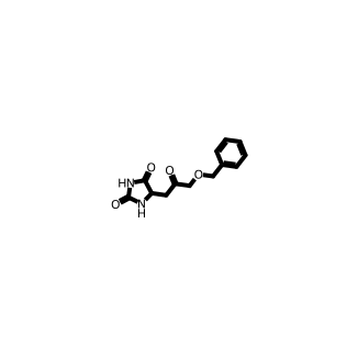 O=C(COCc1ccccc1)CC1NC(=O)NC1=O